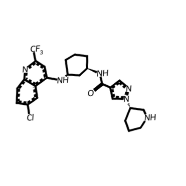 O=C(N[C@@H]1CCC[C@H](Nc2cc(C(F)(F)F)nc3ccc(Cl)cc23)C1)c1cnn([C@H]2CCCNC2)c1